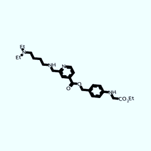 CCOC(=O)CNc1ccc(COC(=O)c2ccnc(CNCCCCN(CC)CC)c2)cc1